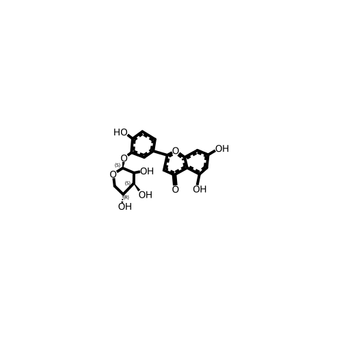 O=c1cc(-c2ccc(O)c(O[C@@H]3OC[C@@H](O)[C@H](O)C3O)c2)oc2cc(O)cc(O)c12